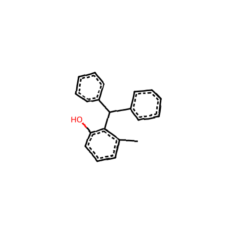 Cc1cccc(O)c1C(c1ccccc1)c1ccccc1